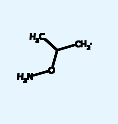 [CH2]C(C)ON